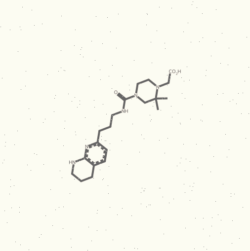 CC1(C)CN(C(=O)NCCCc2ccc3c(n2)NCCC3)CCN1CC(=O)O